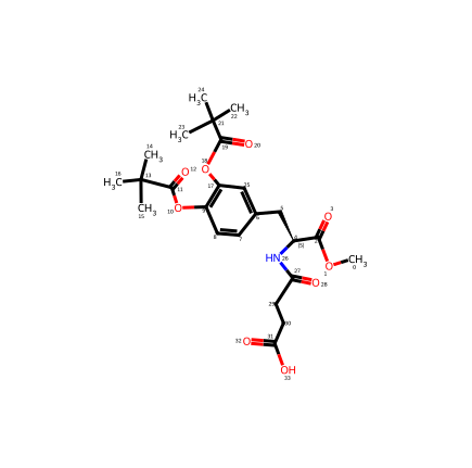 COC(=O)[C@H](Cc1ccc(OC(=O)C(C)(C)C)c(OC(=O)C(C)(C)C)c1)NC(=O)CCC(=O)O